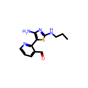 CCCNc1nc(N)c(-c2ncccc2C=O)s1